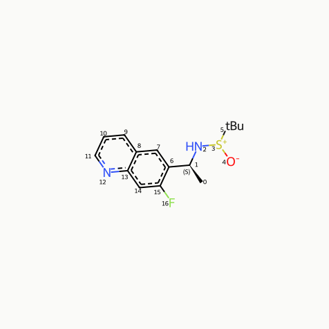 C[C@H](N[S+]([O-])C(C)(C)C)c1cc2cccnc2cc1F